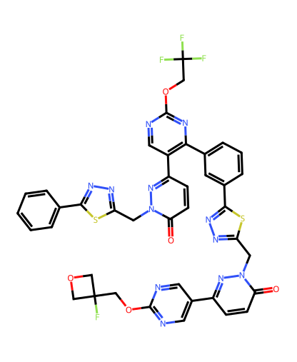 O=c1ccc(-c2cnc(OCC3(F)COC3)nc2)nn1Cc1nnc(-c2cccc(-c3nc(OCC(F)(F)F)ncc3-c3ccc(=O)n(Cc4nnc(-c5ccccc5)s4)n3)c2)s1